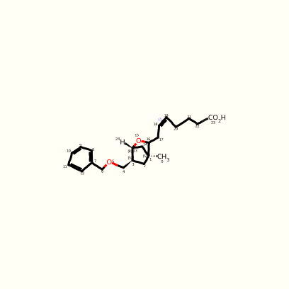 C[C@]12C[C@@H](COCc3ccccc3)[C@@H](C1)OC2C/C=C\CCCC(=O)O